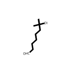 CCC(C)(C)CCCCCC=O